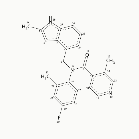 Cc1cc2c(CN(C(=O)c3ccncc3C)c3ccc(F)cc3C)cccc2[nH]1